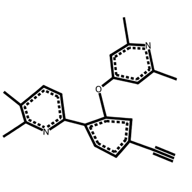 C#Cc1ccc(-c2ccc(C)c(C)n2)c(Oc2cc(C)nc(C)c2)c1